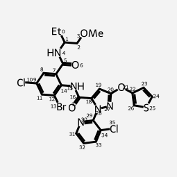 CCC(COC)NC(=O)c1cc(Cl)cc(Br)c1NC(=O)c1cc(Oc2ccsc2)nn1-c1ncccc1Cl